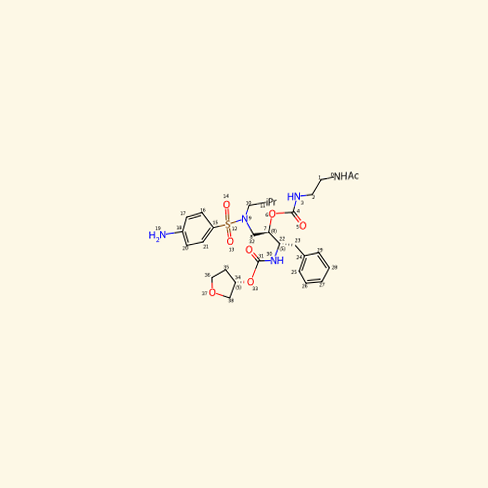 CC(=O)NCCNC(=O)O[C@H](CN(CC(C)C)S(=O)(=O)c1ccc(N)cc1)[C@H](Cc1ccccc1)NC(=O)O[C@H]1CCOC1